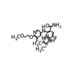 CC[C@@H](Nc1nc(Nc2cnc(OCCOC)c(F)c2)c(C(N)=O)cc1F)[C@H](C)N